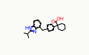 CC(C)c1nc2c(Cc3ccc(C4(C(=O)O)CCCCC4)cc3)cccc2[nH]1